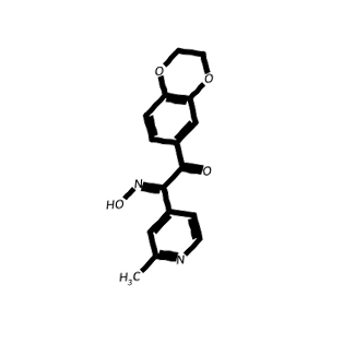 Cc1cc(C(=NO)C(=O)c2ccc3c(c2)OCCO3)ccn1